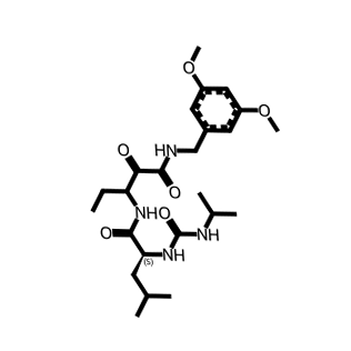 CCC(NC(=O)[C@H](CC(C)C)NC(=O)NC(C)C)C(=O)C(=O)NCc1cc(OC)cc(OC)c1